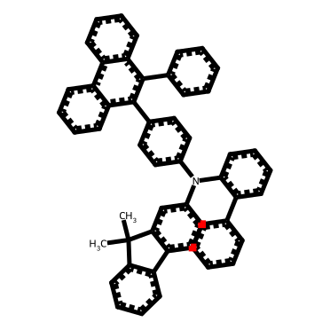 CC1(C)c2ccccc2-c2ccc(N(c3ccc(-c4c(-c5ccccc5)c5ccccc5c5ccccc45)cc3)c3ccccc3-c3ccccc3)cc21